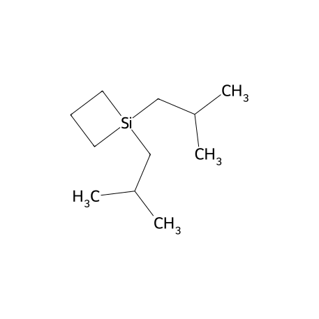 CC(C)C[Si]1(CC(C)C)CCC1